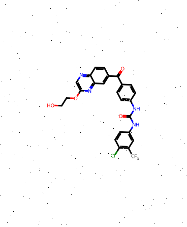 O=C(Nc1ccc(C(=O)c2ccc3ncc(OCCO)nc3c2)cc1)Nc1ccc(Cl)c(C(F)(F)F)c1